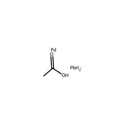 CC(=O)O.[PbH2].[Pd]